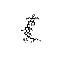 CC(C)CCC[C@@H](C)[C@H]1CCC2C3C(CC[C@@]21C)[C@@]1(C)CCC(O[C@H]2O[C@H](CO)[C@H](O)[C@H](O)[C@@H]2O)CC1=C[C@H]3O